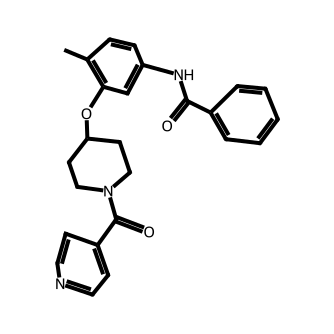 Cc1ccc(NC(=O)c2ccccc2)cc1OC1CCN(C(=O)c2ccncc2)CC1